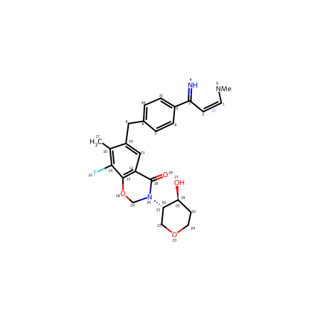 CN/C=C\C(=N)c1ccc(Cc2cc3c(c(F)c2C)OCN([C@H]2COCC[C@@H]2O)C3=O)cc1